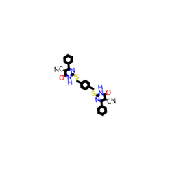 N#Cc1c(-c2ccccc2)nc(SCc2ccc(CSc3nc(-c4ccccc4)c(C#N)c(=O)[nH]3)cc2)[nH]c1=O